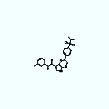 Cc1cccc(NC(=O)c2c[nH]c3ncc(-c4ccc(S(=O)(=O)C(C)C)cc4)nc23)c1